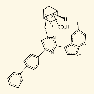 O=C(O)[C@H]1C2CCC(CC2)[C@@H]1Nc1cc(-c2ccc(-c3ccccc3)cc2)nc(-c2c[nH]c3ncc(F)cc23)n1